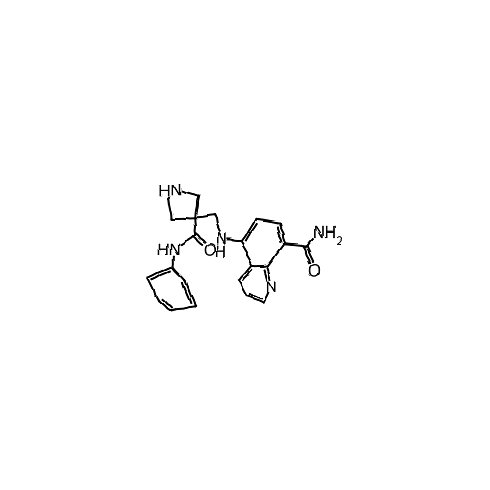 NC(=O)c1ccc(NCC2(C(=O)Nc3ccccc3)CCNC2)c2cccnc12